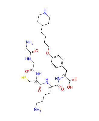 NCCCC[C@H](NC(=O)[C@H](CS)NC(=O)CNC(=O)CN)C(=O)N[C@@H](Cc1ccc(OCCCCC2CCNCC2)cc1)C(=O)O